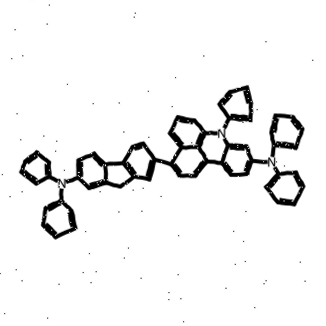 c1ccc(N(c2ccccc2)c2ccc3c(c2)Cc2cc(-c4ccc5c6c(cccc46)N(c4ccccc4)c4cc(N(c6ccccc6)c6ccccc6)ccc4-5)ccc2-3)cc1